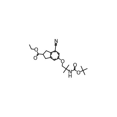 CCOC(=O)C1Cc2cc(OCC(C)(C)NC(=O)OC(C)(C)C)cc(C#N)c2C1